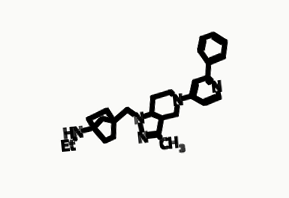 CCNC12CCC(CN3N=C(C)C4CN(c5ccnc(-c6ccccc6)c5)CCC43)(CC1)C2